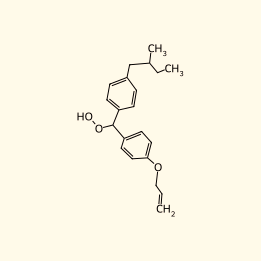 C=CCOc1ccc(C(OO)c2ccc(CC(C)CC)cc2)cc1